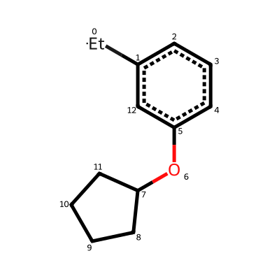 C[CH]c1cccc(OC2CCCC2)c1